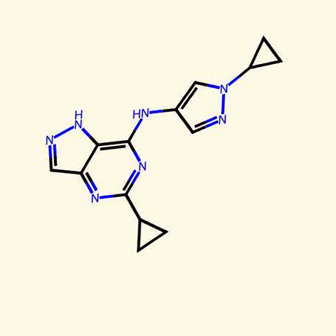 c1nn(C2CC2)cc1Nc1nc(C2CC2)nc2cn[nH]c12